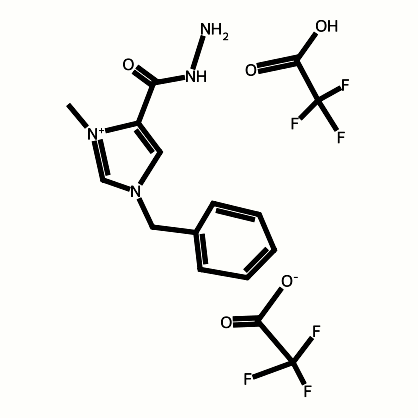 C[n+]1cn(Cc2ccccc2)cc1C(=O)NN.O=C(O)C(F)(F)F.O=C([O-])C(F)(F)F